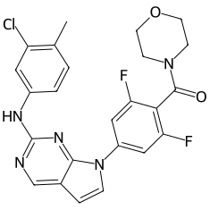 Cc1ccc(Nc2ncc3ccn(-c4cc(F)c(C(=O)N5CCOCC5)c(F)c4)c3n2)cc1Cl